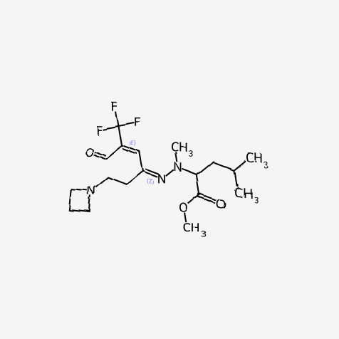 COC(=O)C(CC(C)C)N(C)/N=C(\C=C(/C=O)C(F)(F)F)CCN1CCC1